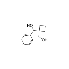 OCC1(C(O)C2=CC[CH]C=C2)CCC1